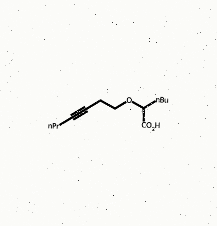 CCCC#CCCOC(CCCC)C(=O)O